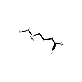 CCS[SiH2]CCCC(O)=S